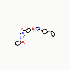 COc1ccccc1N1CCN(C(=O)c2ccc(S(=O)(=O)n3cnc(-c4ccc(-c5ccccc5)cc4)n3)cc2)CC1